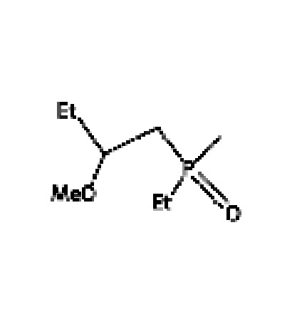 CCC(CP(C)(=O)CC)OC